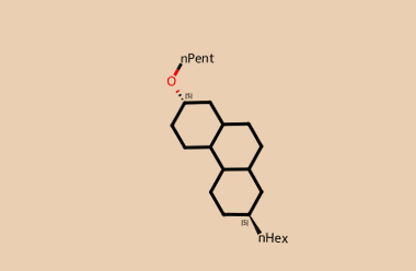 CCCCCC[C@H]1CCC2C(CCC3C[C@@H](OCCCCC)CCC32)C1